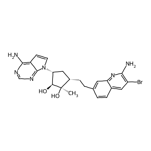 C[C@@]1(O)[C@@H](CCc2ccc3cc(Br)c(N)nc3c2)C[C@@H](n2ccc3c(N)ncnc32)[C@@H]1O